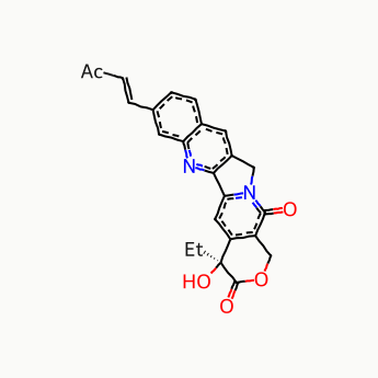 CC[C@@]1(O)C(=O)OCc2c1cc1n(c2=O)Cc2cc3ccc(C=CC(C)=O)cc3nc2-1